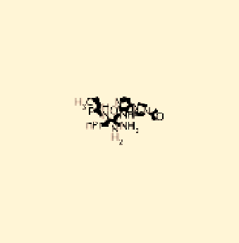 C/C=C\C(F)=C/N/C(=C\CCC)C(C(=O)NC1(CCC)CN=CC=C1N1CCN(C2COC2)CC1)C(N)N